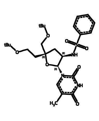 Cc1cn([C@@H]2O[C@](CCOC(C)(C)C)(COC(C)(C)C)C[C@H]2NS(=O)(=O)c2ccccc2)c(=O)[nH]c1=O